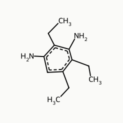 CCc1cc(N)c(CC)c(N)c1CC